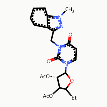 CCC1OC(n2ccc(=O)n(Cc3nn(C)c4ccccc34)c2=O)[C@@H](OC(C)=O)C1OC(C)=O